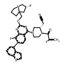 C=C(F)C(=O)N1CCN(c2nc(OCC34CCCN3C[C@H](F)C4)nc3c(F)c(-c4cccc5sccc45)ccc23)C[C@@H]1CC#N